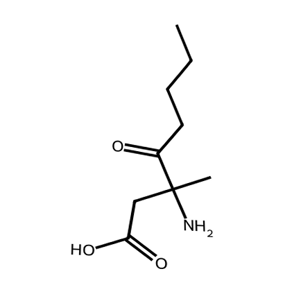 CCCCC(=O)C(C)(N)CC(=O)O